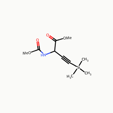 COC(=O)NC(C#C[Si](C)(C)C)C(=O)OC